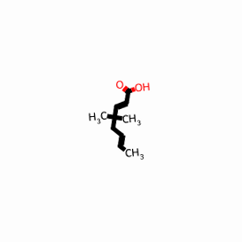 CC=CCC(C)(C)C=CC(=O)O